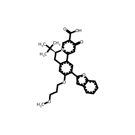 COCCCOc1cc2c(cc1-c1cc3ccccc3o1)-c1cc(=O)c(C(=O)O)cn1[C@H](C(C)(C)C)C2